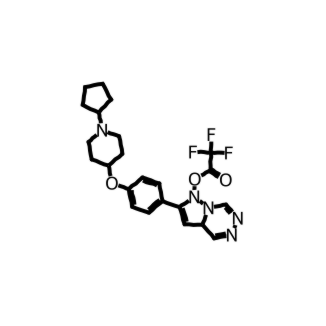 O=C(ON1C(c2ccc(OC3CCN(C4CCCC4)CC3)cc2)=CC2C=NN=CN21)C(F)(F)F